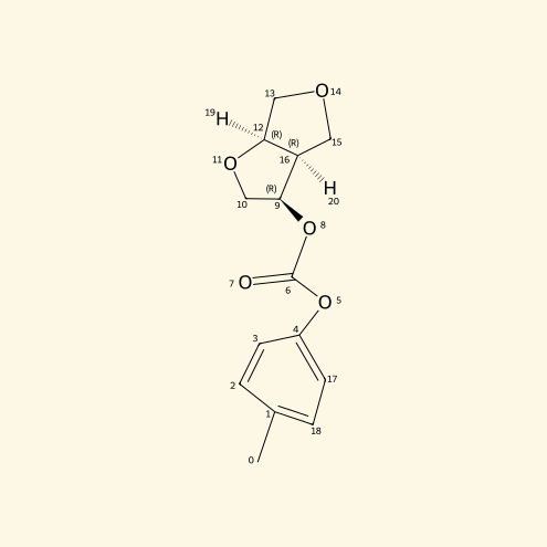 Cc1ccc(OC(=O)O[C@H]2CO[C@H]3COC[C@H]32)cc1